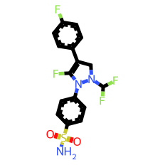 NS(=O)(=O)c1ccc(N2C(F)=C(c3ccc(F)cc3)CN2C(F)F)cc1